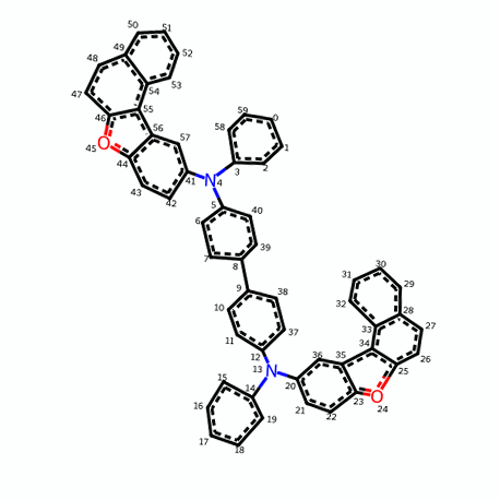 c1ccc(N(c2ccc(-c3ccc(N(c4ccccc4)c4ccc5oc6ccc7ccccc7c6c5c4)cc3)cc2)c2ccc3oc4ccc5ccccc5c4c3c2)cc1